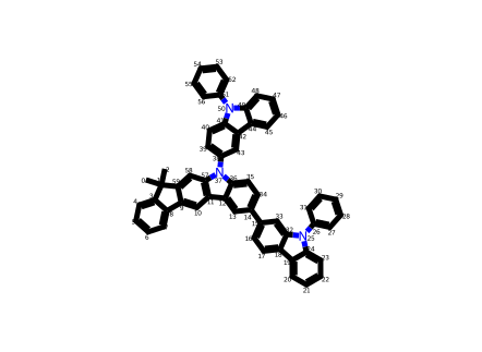 CC1(C)c2ccccc2-c2cc3c4cc(-c5ccc6c7ccccc7n(-c7ccccc7)c6c5)ccc4n(-c4ccc5c(c4)c4ccccc4n5-c4ccccc4)c3cc21